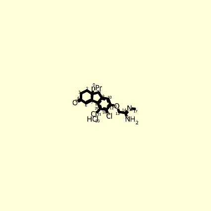 CCCC12CCC(=O)C=C1c1c(cc(OCC(N)=NC)c(Cl)c1Cl)C2.Cl